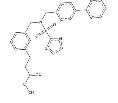 COC(=O)CCc1cccc(CN(Cc2ccc(-c3ncccn3)cc2)S(=O)(=O)c2nccs2)c1